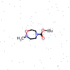 CN1CCN(C(=O)OC(C)(C)C)CCO1